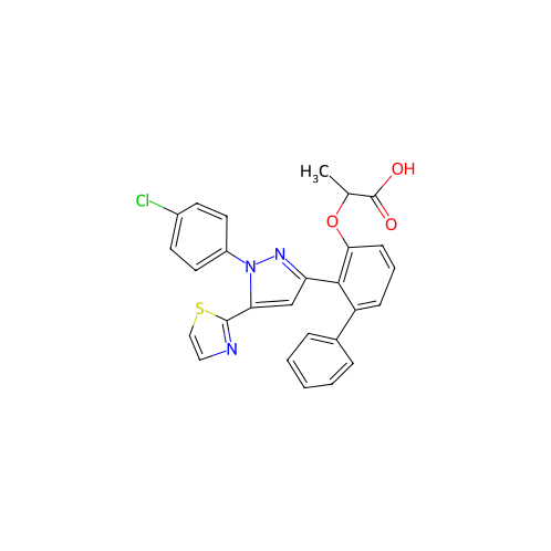 CC(Oc1cccc(-c2ccccc2)c1-c1cc(-c2nccs2)n(-c2ccc(Cl)cc2)n1)C(=O)O